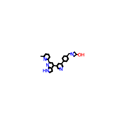 Cc1cccc(-c2cc(-c3cncc(-c4ccc(CN5CC(O)C5)cc4)c3)c3cc[nH]c3n2)n1